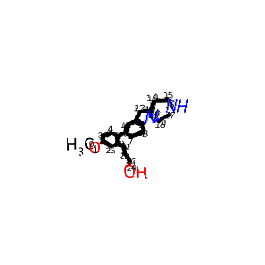 COc1ccc(-c2ccc3c(c2)CC2CCNCCN32)c(C=CCO)c1